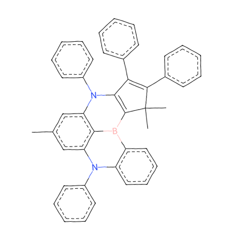 Cc1cc2c3c(c1)N(c1ccccc1)c1ccccc1B3C1=C(C(c3ccccc3)=C(c3ccccc3)C1(C)C)N2c1ccccc1